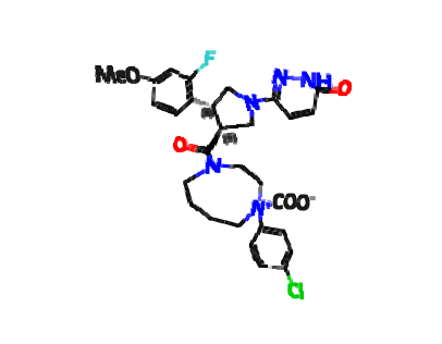 COc1ccc([C@@H]2CN(c3ccc(=O)[nH]n3)C[C@H]2C(=O)N2CCCC[N+](C(=O)[O-])(c3ccc(Cl)cc3)CC2)c(F)c1